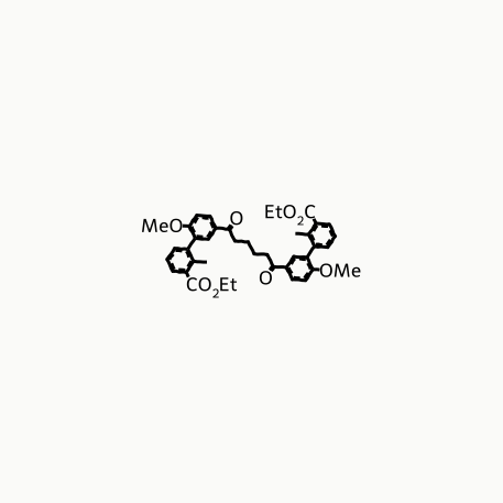 CCOC(=O)c1cccc(-c2cc(C(=O)CCCCC(=O)c3ccc(OC)c(-c4cccc(C(=O)OCC)c4C)c3)ccc2OC)c1C